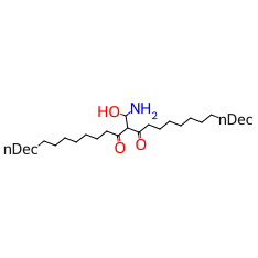 CCCCCCCCCCCCCCCCCC(=O)C(C(=O)CCCCCCCCCCCCCCCCC)C(N)O